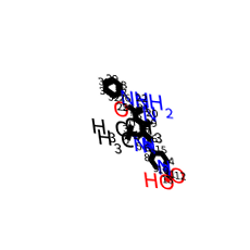 CC(C)(C)c1nn(C2CCN(C(=O)O)CC2)cc1-c1cnc(N)c(C(=O)Nc2ccccc2)c1